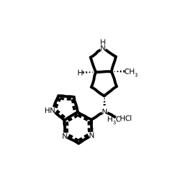 CN(c1ncnc2[nH]ccc12)[C@@H]1C[C@H]2CNC[C@@]2(C)C1.Cl